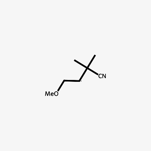 COC[CH]C(C)(C)C#N